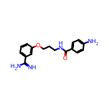 N=C(N)c1cccc(OCCCNC(=O)c2ccc(N)cc2)c1